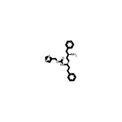 N[C@@H](CC[C@@H](CCc1ccccc1)NC(=O)OCc1cncs1)Cc1ccccc1